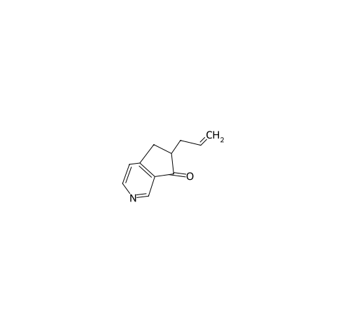 C=CCC1Cc2ccncc2C1=O